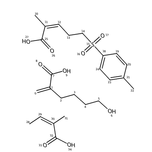 C=C(CCCCO)C(=O)O.CC(=CCCS(=O)(=O)c1ccc(C)cc1)C(=O)O.CC=C(C)C(=O)O